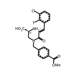 COC(=O)c1ccc(CN(C[C@H](N)C(=O)O)C(=O)/C=C/c2cccc(Cl)c2F)cc1